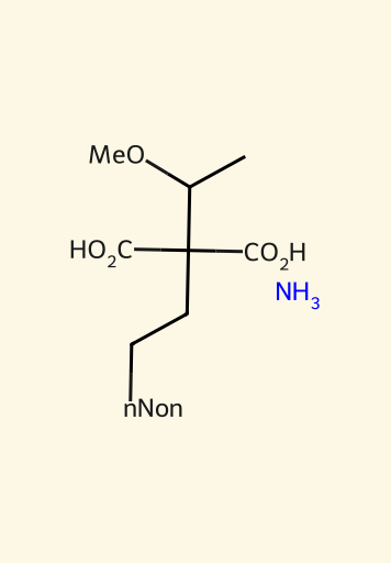 CCCCCCCCCCCC(C(=O)O)(C(=O)O)C(C)OC.N